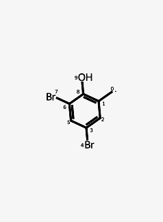 [CH2]c1cc(Br)cc(Br)c1O